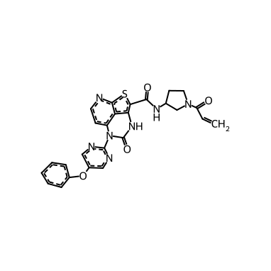 C=CC(=O)N1CCC(NC(=O)c2sc3nccc4c3c2NC(=O)N4c2ncc(Oc3ccccc3)cn2)C1